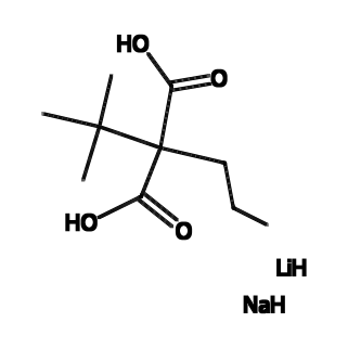 CCCC(C(=O)O)(C(=O)O)C(C)(C)C.[LiH].[NaH]